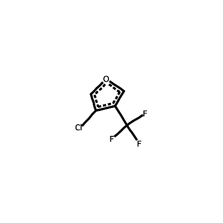 FC(F)(F)c1cocc1Cl